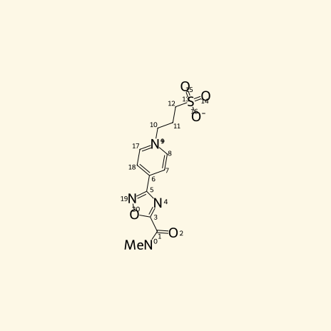 CNC(=O)c1nc(-c2cc[n+](CCCS(=O)(=O)[O-])cc2)no1